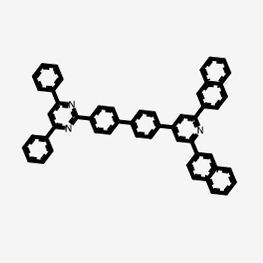 c1ccc(-c2cc(-c3ccccc3)nc(-c3ccc(-c4ccc(-c5cc(-c6ccc7ccccc7c6)nc(-c6ccc7ccccc7c6)c5)cc4)cc3)n2)cc1